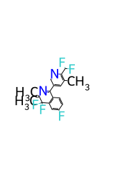 Cc1cc(C2=NC(C)(C)C(F)(F)c3cc(F)ccc32)cnc1C(F)F